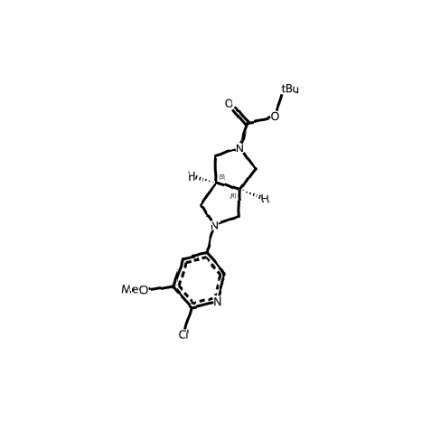 COc1cc(N2C[C@H]3CN(C(=O)OC(C)(C)C)C[C@H]3C2)cnc1Cl